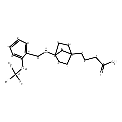 O=C(O)CCCC12CCC(OCc3ccccc3OC(F)(F)F)(CC1)C2